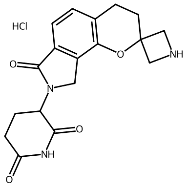 Cl.O=C1CCC(N2Cc3c(ccc4c3OC3(CC4)CNC3)C2=O)C(=O)N1